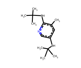 Cc1cc(BC(C)(C)C)cnc1BC(C)(C)C